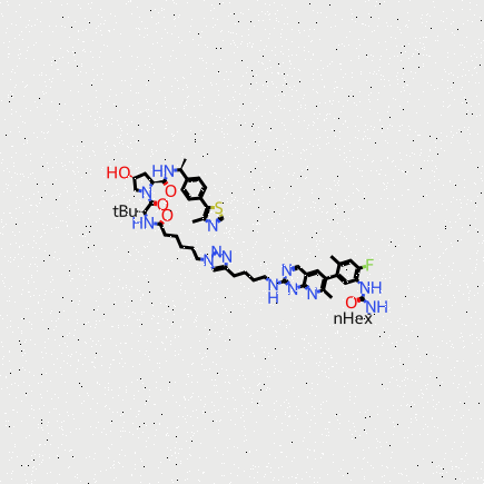 CCCCCCNC(=O)Nc1cc(-c2cc3cnc(NCCCCc4cn(CCCCCC(=O)N[C@@H](C(=O)N5C[C@H](O)C[C@H]5C(=O)N[C@@H](C)c5ccc(-c6scnc6C)cc5)C(C)(C)C)nn4)nc3nc2C)c(C)cc1F